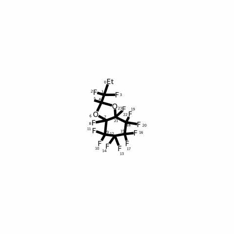 CCC(F)(F)C1(C)OC2(F)C(F)(F)C(F)(F)C(F)(F)C(F)(F)C2(F)O1